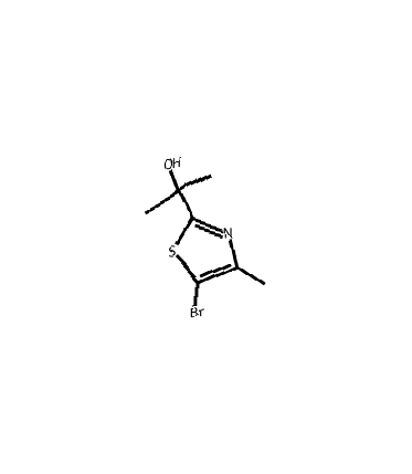 Cc1nc(C(C)(C)O)sc1Br